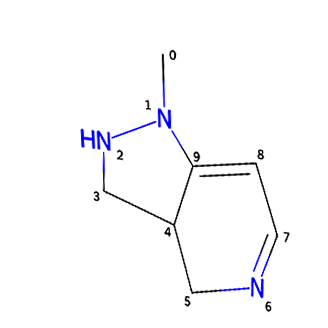 CN1NCC2CN=CC=C21